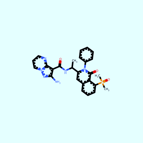 CC(NC(=O)c1c(N)nn2cccnc12)c1cc2cccc(P(C)(C)=O)c2c(=O)n1-c1ccccc1